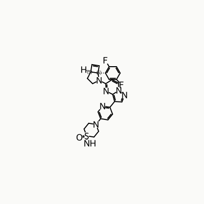 N=S1(=O)CCN(c2ccc(-c3cnn4ccc(N5CC[C@H]6C=C[C@]65c5cc(F)ccc5F)nc34)nc2)CC1